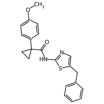 COc1ccc(C2(C(=O)Nc3ncc(Cc4ccccc4)s3)CC2)cc1